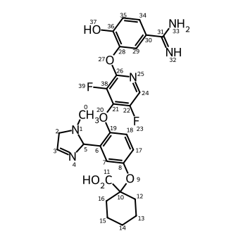 CN1CC=NC1c1cc(OC2(C(=O)O)CCCCC2)ccc1Oc1c(F)cnc(Oc2cc(C(=N)N)ccc2O)c1F